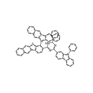 c1ccc(C2N=C(c3ccc4c5ccccc5n(-c5ccccc5)c4c3)N=C(c3ccc4c(sc5cc6ccccc6cc54)c3-n3c4cc5ccccc5cc4c4cc5ccccc5cc43)N2)cc1